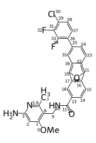 COc1cc(N)nc(C)c1CNC(=O)c1ccc2c(c1)c1oc2c2ccc(-c3ccc(Cl)c(F)c3F)cc21